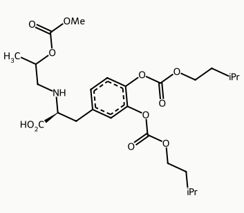 COC(=O)OC(C)CN[C@@H](Cc1ccc(OC(=O)OCCC(C)C)c(OC(=O)OCCC(C)C)c1)C(=O)O